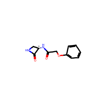 O=C(COc1ccccc1)N[C@H]1CNC1=O